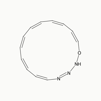 c1cccccco[nH]nnccccc1